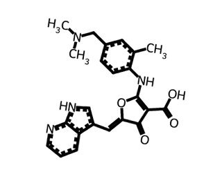 Cc1cc(CN(C)C)ccc1NC1=C(C(=O)O)C(=O)/C(=C/c2c[nH]c3ncccc23)O1